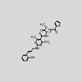 COC(=O)[C@H](CNC(=O)c1cccs1)NC(=O)c1c(C)nc(NC/C=C/c2ccccc2O)nc1C